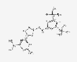 Cc1cc(C(=O)O)nc(N2CCC(COc3cc(C(F)(F)F)cc(C(F)(F)F)c3)C2)n1